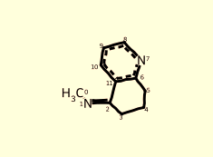 C/N=C1/CCCc2ncccc21